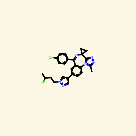 Cc1nnc2n1-c1ccc(-c3cnn(CCC(C)Cl)c3)cc1C(c1ccc(Cl)cc1)=NC21CC1